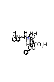 N=C/C(=C\NCCc1ccc2c(n1)NCCC2)C(=O)NC[C@H](NC(=O)OCc1ccccc1)C(=O)O